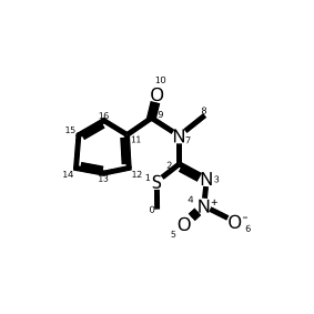 CSC(=N[N+](=O)[O-])N(C)C(=O)c1ccccc1